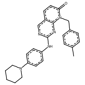 Cc1ccc(Cn2c(=O)ccc3cnc(Nc4ccc(N5CCCCC5)cc4)nc32)cc1